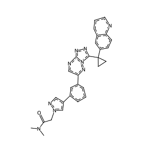 CN(C)C(=O)Cn1cc(-c2cccc(-c3cnc4nnc(C5(c6ccc7ncccc7c6)CC5)n4n3)c2)cn1